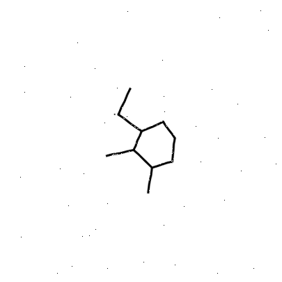 C[CH]C1CCCC(C)C1C